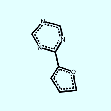 c1coc(-c2ncncn2)c1